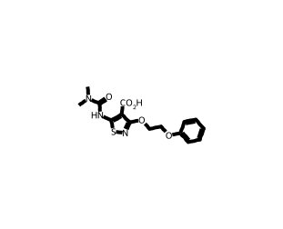 CN(C)C(=O)Nc1snc(OCCOc2ccccc2)c1C(=O)O